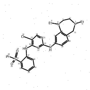 CCN1CCN(CC)c2cc(Nc3ncc(Cl)c(Nc4ccccc4S(=O)(=O)C(C)C)n3)ccc2C1